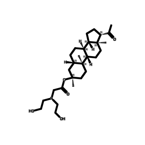 CC(=O)[C@H]1CC[C@H]2[C@@H]3CC[C@H]4C[C@](C)(OC(=O)CN(CCO)CCO)CC[C@]4(C)[C@H]3CC[C@]12C